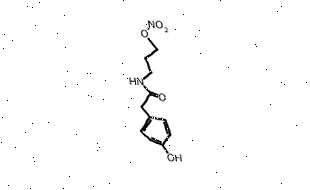 O=C(Cc1ccc(O)cc1)NCCCO[N+](=O)[O-]